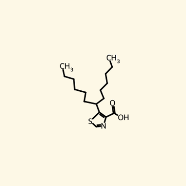 CCCCCCC(CCCCCC)c1scnc1C(=O)O